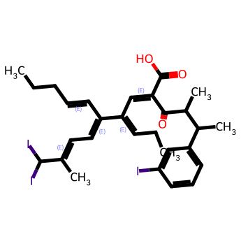 CC/C=C(\C=C(\C(=O)O)C(=O)C(C)C(C)c1cccc(I)c1)C(/C=C/CCC)=C/C=C(\C)C(I)I